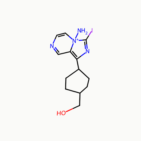 N[N+]12C=CN=CC1=C(C1CCC(CO)CC1)N=C2I